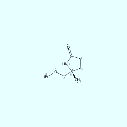 CC(C)OC[C@@]1(C)CCC(=O)N1